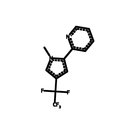 Cn1cc(C(F)(F)C(F)(F)F)cc1-c1ccccn1